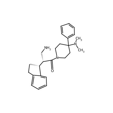 CN(C)C1(c2ccccc2)CCN(C(=O)[C@@H](CN)[C@H]2CCc3ccccc32)CC1